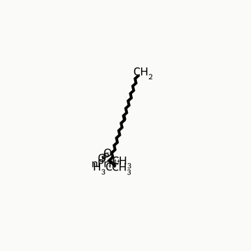 C=CCCCCCCCCCCC=CCCCCCCCCCCC(CCC)(P(=O)=O)[N+](C)(C)C